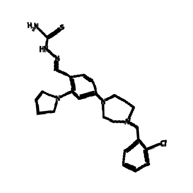 NC(=S)NN=Cc1ccc(N2CCN(Cc3ccccc3Cl)CC2)cc1N1CCCC1